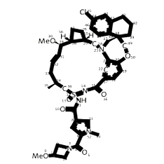 COC1CN(C(=O)c2cc(C(=O)N[S@@]3(=O)=NC(=O)c4ccc5c(c4)N(C[C@@H]4CC[C@H]4[C@@H](OC)/C=C/C[C@H](C)C3)C[C@@]3(CCCc4cc(Cl)ccc43)CO5)cn2C)C1